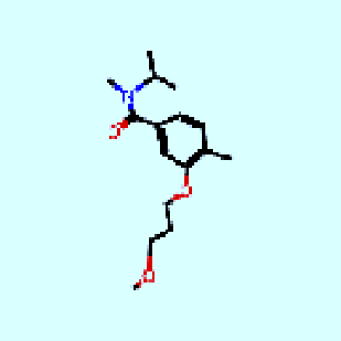 COCCCOc1cc(C(=O)N(C)C(C)C)ccc1C